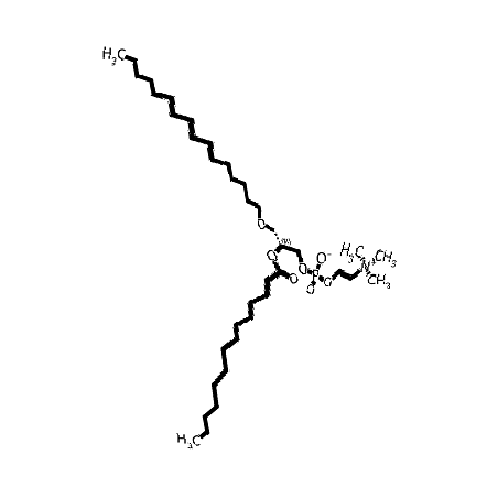 CCCCCCCCCCCCCCCCOC[C@H](COP(=O)([O-])OCC[N+](C)(C)C)OC(=O)CCCCCCCCCCCCC